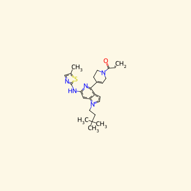 C=CC(=O)N1CC=C(c2nc(Nc3ncc(C)s3)cc3c2ccn3CCC(C)(C)C)CC1